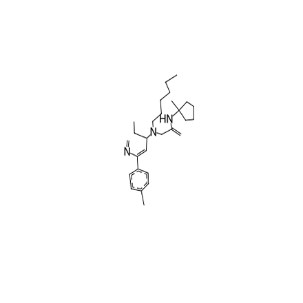 C=N/C(=C\C(CC)N(CCCCCC)CC(=C)NC1(C)CCCC1)c1ccc(C)cc1